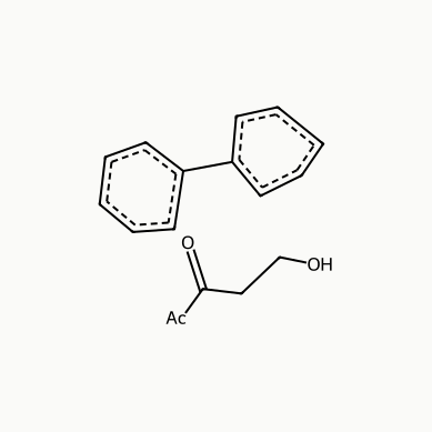 CC(=O)C(=O)CCO.c1ccc(-c2ccccc2)cc1